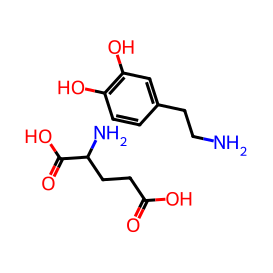 NC(CCC(=O)O)C(=O)O.NCCc1ccc(O)c(O)c1